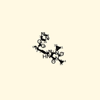 CN(CC#Cc1nc2c([nH]1)c(=O)n(C1CC1)c(=O)n2C1CC1)C(=O)Oc1cncnc1